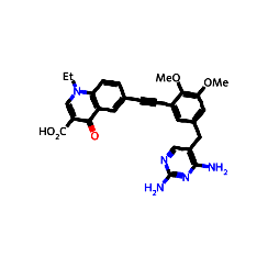 CCn1cc(C(=O)O)c(=O)c2cc(C#Cc3cc(Cc4cnc(N)nc4N)cc(OC)c3OC)ccc21